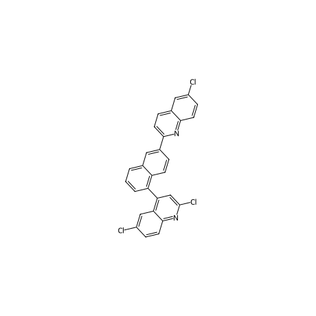 Clc1ccc2nc(-c3ccc4c(-c5cc(Cl)nc6ccc(Cl)cc56)cccc4c3)ccc2c1